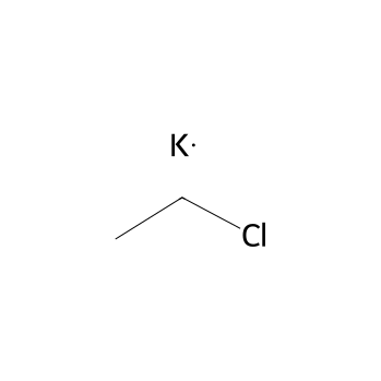 CCCl.[K]